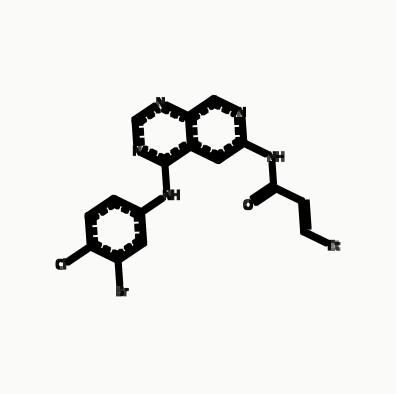 CC/C=C/C(=O)Nc1cc2c(Nc3ccc(Cl)c(Br)c3)ncnc2cn1